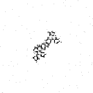 C1=CCCC(N2c3ccccc3B3c4cc5oc6cc(N(c7ccccc7)c7ccccn7)ccc6c5cc4Oc4cccc2c43)=C1